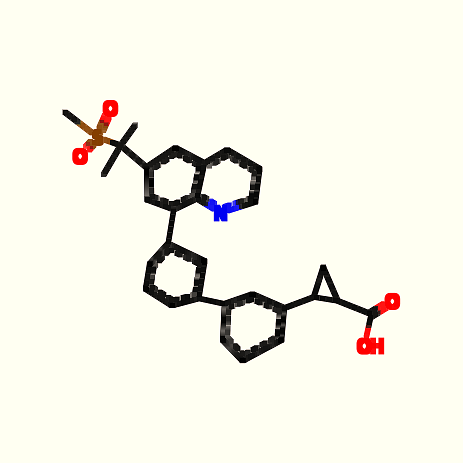 CC(C)(c1cc(-c2cccc(-c3cccc(C4CC4C(=O)O)c3)c2)c2ncccc2c1)S(C)(=O)=O